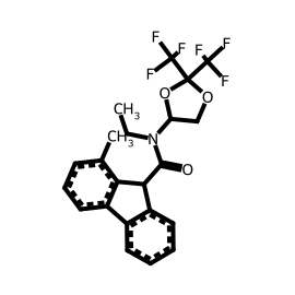 CCN(C(=O)C1c2ccccc2-c2cccc(C)c21)C1COC(C(F)(F)F)(C(F)(F)F)O1